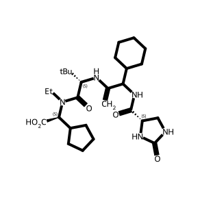 C=C(N[C@H](C(=O)N(CC)[C@H](C(=O)O)C1CCCC1)C(C)(C)C)C(NC(=O)[C@@H]1CNC(=O)N1)C1CCCCC1